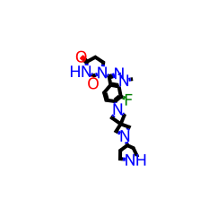 Cn1nc(N2CCC(=O)NC2=O)c2ccc(N3CC4(C3)CN(C3CCNCC3)C4)c(F)c21